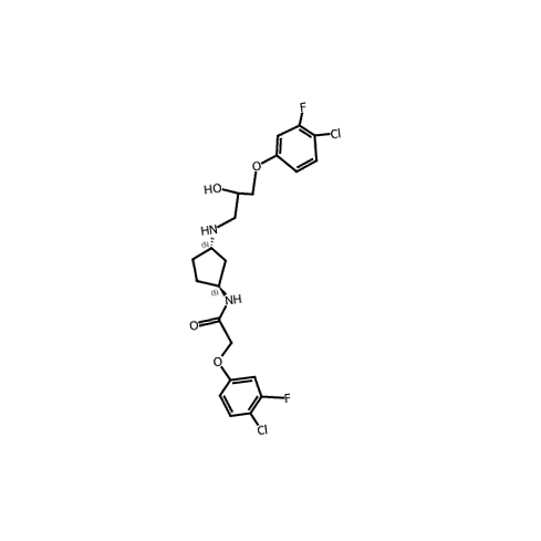 O=C(COc1ccc(Cl)c(F)c1)N[C@H]1CC[C@H](NCC(O)COc2ccc(Cl)c(F)c2)C1